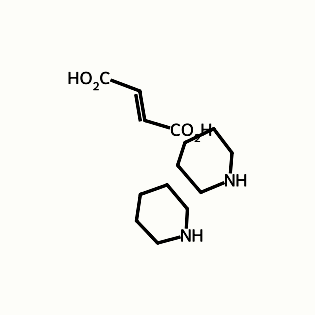 C1CCNCC1.C1CCNCC1.O=C(O)C=CC(=O)O